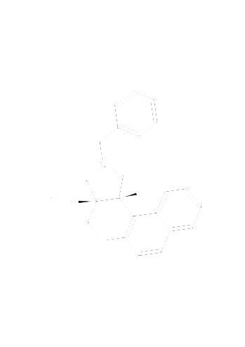 Cl.c1ccc(CN2C[C@H]3COc4ccc5ccccc5c4[C@H]3C2)cc1